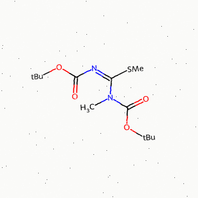 CS/C(=N/C(=O)OC(C)(C)C)N(C)C(=O)OC(C)(C)C